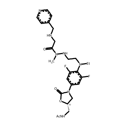 CCN(CCNN(C)C(=O)CNCc1ccncc1)c1c(F)cc(N2C[C@H](CNC(C)=O)OC2=O)cc1F